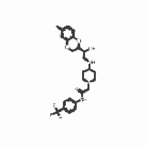 Cc1ccc2c(c1)OCC(C(O)CNC1CCN(CC(=O)Nc3ccc(C(F)(F)F)cc3)CC1)O2